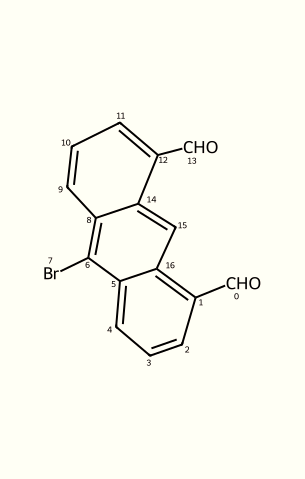 O=Cc1cccc2c(Br)c3cccc(C=O)c3cc12